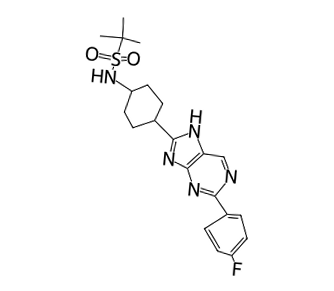 CC(C)(C)S(=O)(=O)NC1CCC(c2nc3nc(-c4ccc(F)cc4)ncc3[nH]2)CC1